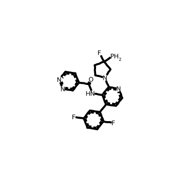 O=C(Nc1c(-c2cc(F)ccc2F)ccnc1N1CCC(F)(P)C1)c1ccnnc1